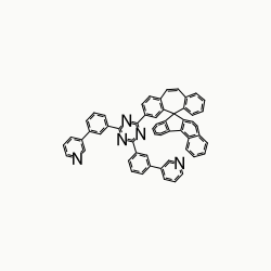 C1=Cc2ccc(-c3nc(-c4cccc(-c5cccnc5)c4)nc(-c4cccc(-c5cccnc5)c4)n3)cc2C2(c3ccccc31)c1ccccc1-c1c2ccc2ccccc12